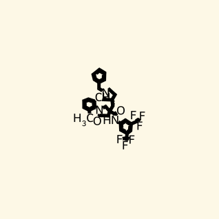 Cc1cccc(C)c1N1CC(CC2CCN(Cc3ccccc3)C2)(C(=O)Nc2cc(C(F)(F)F)cc(C(F)(F)F)c2)CC1=O